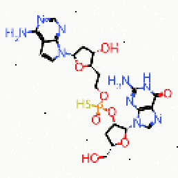 Nc1nc2c(ncn2[C@@H]2O[C@H](CO)C[C@H]2OP(=O)(S)OCC[C@H]2O[C@@H](n3ccc4c(N)ncnc43)C[C@@H]2O)c(=O)[nH]1